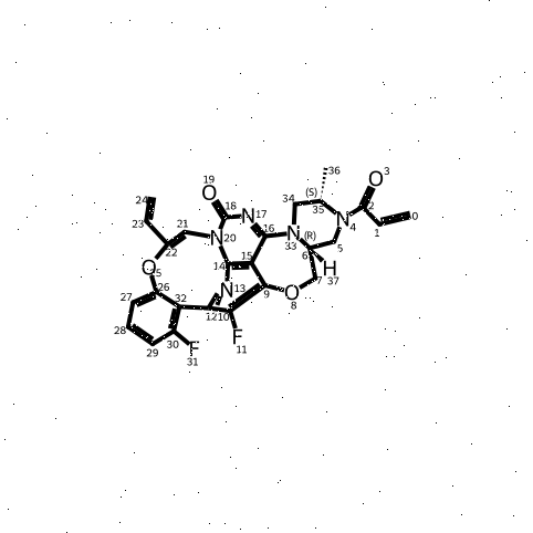 C=CC(=O)N1C[C@@H]2COc3c(F)c4nc5c3c(nc(=O)n5cc(C=C)oc3cccc(F)c34)N2C[C@@H]1C